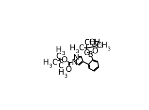 CC(C)(C)OC(=O)n1cc(-c2ccccc2B2OC(C)(C)C(C)(C)O2)cn1